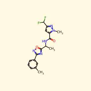 Cc1cccc(-c2noc(C(C)NC(=O)c3cc(C(F)F)nn3C)n2)c1